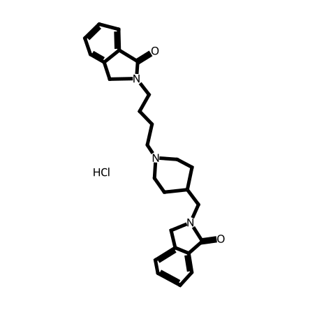 Cl.O=C1c2ccccc2CN1CCCCN1CCC(CN2Cc3ccccc3C2=O)CC1